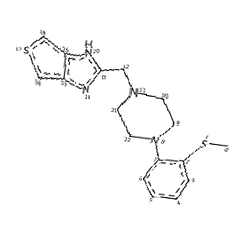 CSc1ccccc1N1CCN(Cc2nc3cscc3[nH]2)CC1